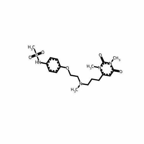 CN(CCCc1cc(=O)n(C)c(=O)n1C)CCOc1ccc(NS(C)(=O)=O)cc1